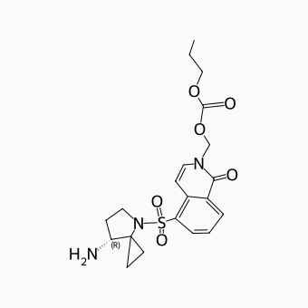 CCCOC(=O)OCn1ccc2c(S(=O)(=O)N3CC[C@@H](N)C34CC4)cccc2c1=O